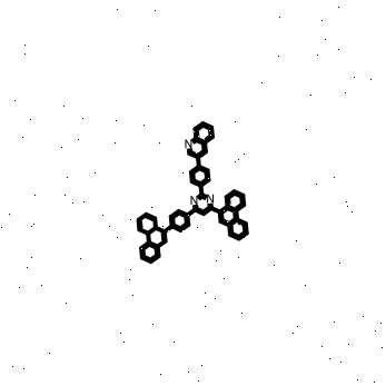 C1=CC2C(c3ccc(-c4cc(-c5cc6ccccc6c6ccccc56)nc(-c5ccc(-c6cnc7ccccc7c6)cc5)n4)cc3)=Cc3ccccc3C2C=C1